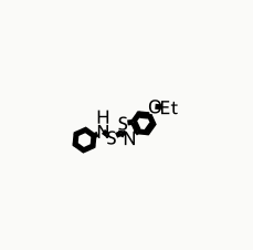 CCOc1ccc2nc(SNC3CCCCC3)sc2c1